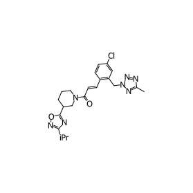 Cc1nnn(Cc2cc(Cl)ccc2/C=C/C(=O)N2CCCC(c3nc(C(C)C)no3)C2)n1